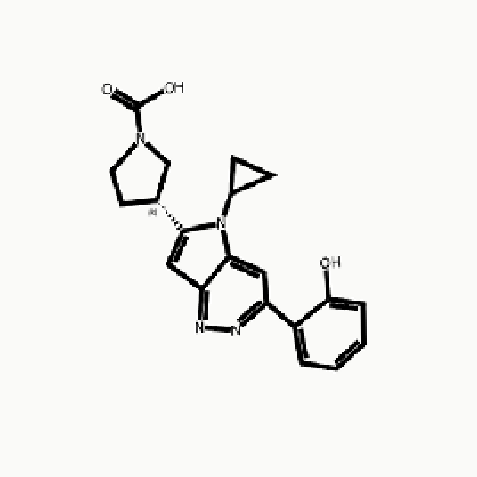 O=C(O)N1CC[C@@H](c2cc3nnc(-c4ccccc4O)cc3n2C2CC2)C1